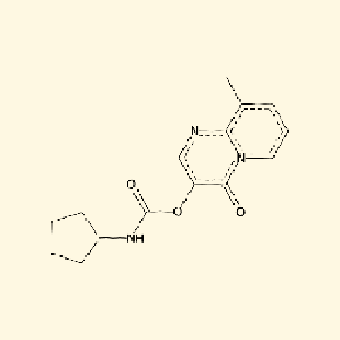 Cc1cccn2c(=O)c(OC(=O)NC3CCCC3)cnc12